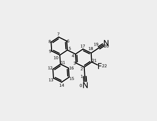 N#Cc1cc(-c2ccccc2-c2ccccc2)cc(C#N)c1F